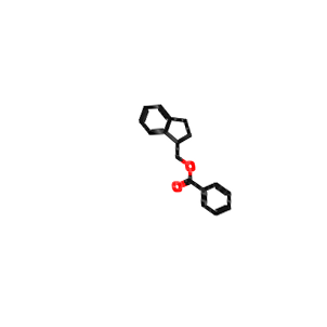 O=C(OCC1CCc2ccccc21)c1ccccc1